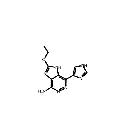 CCOc1nc2c(N)nnc(-c3c[nH]cn3)c2[nH]1